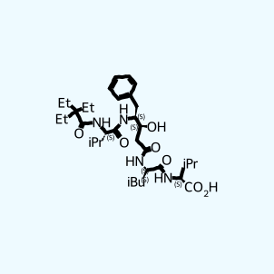 CC[C@H](C)[C@H](NC(=O)C[C@H](O)[C@H](Cc1ccccc1)NC(=O)[C@@H](NC(=O)C(CC)(CC)CC)C(C)C)C(=O)N[C@H](C(=O)O)C(C)C